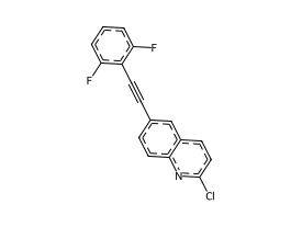 Fc1cccc(F)c1C#Cc1ccc2nc(Cl)ccc2c1